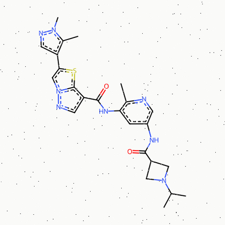 Cc1ncc(NC(=O)C2CN(C(C)C)C2)cc1NC(=O)c1cnn2cc(-c3cnn(C)c3C)sc12